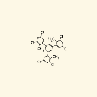 Cc1c(Cl)cc(Cl)cc1-c1cc(-c2cc(Cl)cc(Cl)c2C)cc(-c2cc(Cl)cc(Cl)c2C)c1